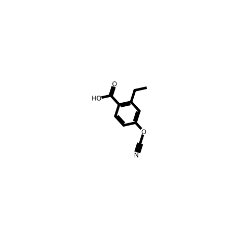 CCc1cc(OC#N)ccc1C(=O)O